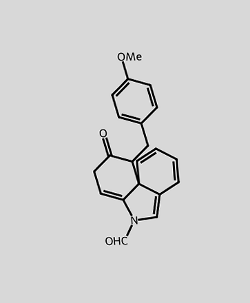 COc1ccc(CC2C(=O)CC=C3N(C=O)C=C4C=CC=CC432)cc1